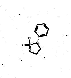 O=P1(Cl)CCC[C@H]1c1ccccc1